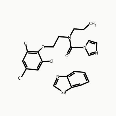 CCCN(CCOc1c(Cl)cc(Cl)cc1Cl)C(=O)n1ccnc1.c1ccc2[se]cnc2c1